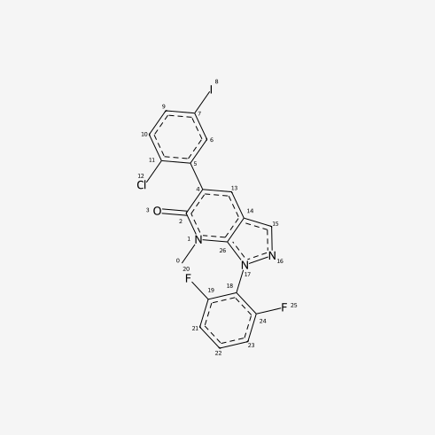 Cn1c(=O)c(-c2cc(I)ccc2Cl)cc2cnn(-c3c(F)cccc3F)c21